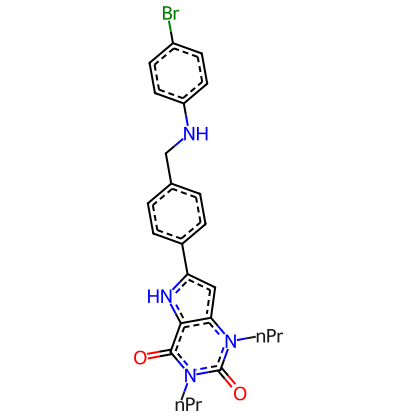 CCCn1c(=O)c2[nH]c(-c3ccc(CNc4ccc(Br)cc4)cc3)cc2n(CCC)c1=O